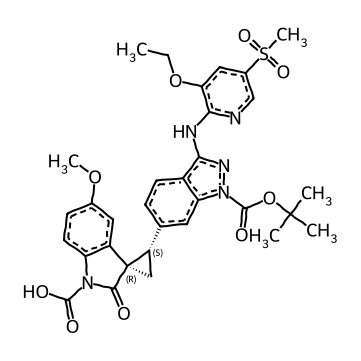 CCOc1cc(S(C)(=O)=O)cnc1Nc1nn(C(=O)OC(C)(C)C)c2cc([C@@H]3C[C@@]34C(=O)N(C(=O)O)c3ccc(OC)cc34)ccc12